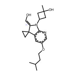 CC(C)CCOc1cnc2c(c1)C1(CC1)/C(=C/O)N2C1CC(C)(O)C1